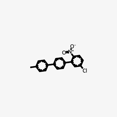 Cc1ccc(-c2ccc(-c3cc(Cl)ccc3[N+](=O)[O-])cc2)cc1